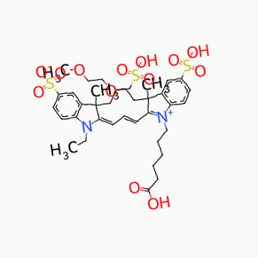 CCN1/C(=C/C=C/C2=[N+](CCCCCC(=O)O)c3ccc(S(=O)(=O)O)cc3C2(C)CCOCCOC)C(C)(CCCS(=O)(=O)O)c2cc(S(=O)(=O)[O-])ccc21